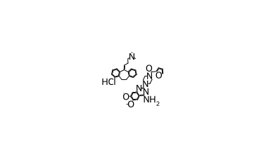 CN(C)CCC=C1c2ccccc2CCc2ccccc21.COc1cc2nc(N3CCN(C(=O)c4ccco4)CC3)nc(N)c2cc1OC.Cl